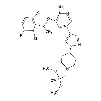 COP(=O)(CN1CCC(n2cc(-c3cnc(N)c(OC(C)c4c(Cl)ccc(F)c4Cl)c3)cn2)CC1)OC